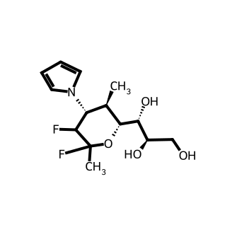 C[C@H]1[C@H]([C@H](O)[C@H](O)CO)OC(C)(F)C(F)[C@@H]1n1cccc1